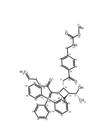 C=CCOC(=O)C(N1C(=O)[C@H]([C@@H](C)O)[C@H]1CC(=O)c1ccc(CNC(=O)OC(C)(C)C)cc1)=P(c1ccccc1)(c1ccccc1)c1ccccc1